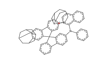 c1ccc(N(c2ccc3c(c2)C2(c4ccccc4-3)c3cc4c(cc3-c3cc5c(cc32)C2CC3CC(CC5C3)C2)C2CC3CC(C2)CC4C3)c2cccc3ccccc23)cc1